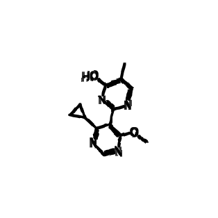 COc1ncnc(C2CC2)c1-c1ncc(C)c(O)n1